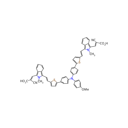 COc1ccc(N(c2ccc(-c3ccc(/C=C/c4c5ccccc5c(/C=C(\C#N)C(=O)O)n4C)s3)cc2)c2ccc(-c3ccc(/C=C/c4c5ccccc5c(/C=C(\C#N)C(=O)O)n4C)s3)cc2)cc1